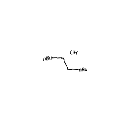 CCCCCCCCCC.[LiH]